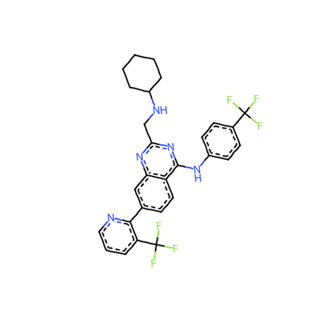 FC(F)(F)c1ccc(Nc2nc(CNC3CCCCC3)nc3cc(-c4ncccc4C(F)(F)F)ccc23)cc1